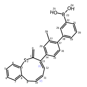 C=C1Sc2ccccc2C/C=C\C=C/1c1ccc(-c2cccc(B(O)O)c2)c(C)c1